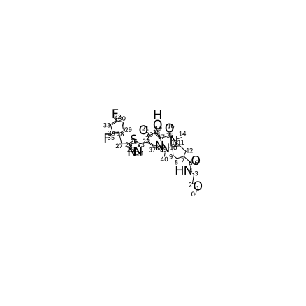 COCCNC(=O)C1CCC2(CC1)N(C)C(=O)c1c(O)c(=O)c(-c3nnc(Cc4ccc(F)cc4F)s3)cn1N2C